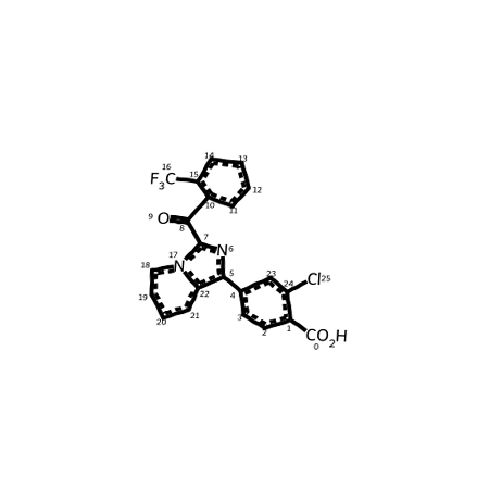 O=C(O)c1ccc(-c2nc(C(=O)c3ccccc3C(F)(F)F)n3ccccc23)cc1Cl